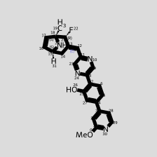 COc1cc(-c2ccc(-c3cnc(/C=C4\C[C@H]5C=C[C@](C)(N5)[C@@H]4F)cn3)c(O)c2)ccn1